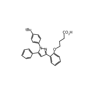 CC(C)(C)c1ccc(-n2nc(-c3ccccc3OCCCC(=O)O)cc2-c2ccccc2)cc1